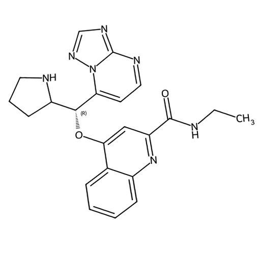 CCNC(=O)c1cc(O[C@@H](c2ccnc3ncnn23)C2CCCN2)c2ccccc2n1